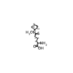 CN(C(=S)SCCC(N)C(=O)O)C1CCCO1